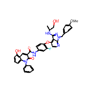 COc1ccc(Cn2nc(NC(C)CO)c3c(Oc4ccc(NC(=O)c5cc6c(O)cccc6n(-c6ccccc6)c5=O)cc4F)ccnc32)cc1